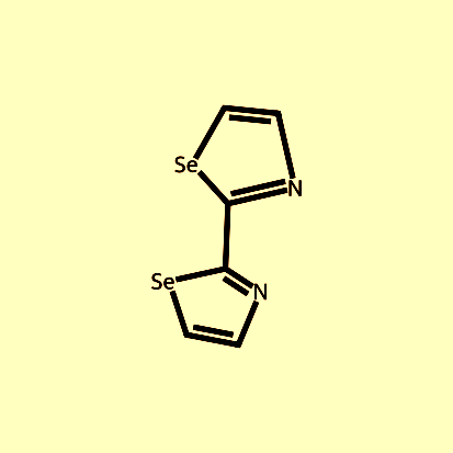 c1c[se]c(-c2ncc[se]2)n1